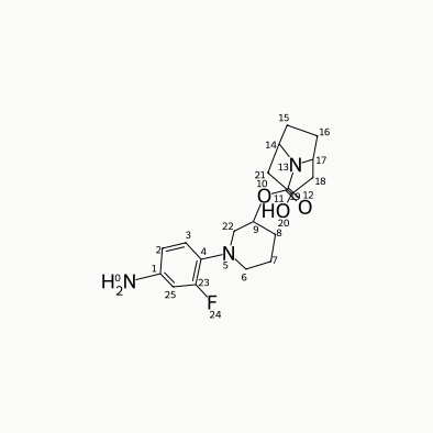 Nc1ccc(N2CCCC(OC(=O)N3C4CCC3CC(O)C4)C2)c(F)c1